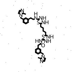 Cc1nccn1Cc1cccc(CCNC(=N)SC(=N)CCCCC(=N)SC(=N)NC(=O)Cc2cccc(Cn3ccnc3C)c2)c1